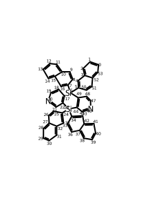 c1ccc2cc([Si]3(c4ccc5ccccc5c4)c4ccncc4[Si](c4ccc5ccccc5c4)(c4ccc5ccccc5c4)c4cnccc43)ccc2c1